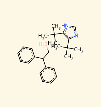 BCC(c1ccccc1)c1ccccc1.CC(C)(C)c1nc[nH]c1C(C)(C)C